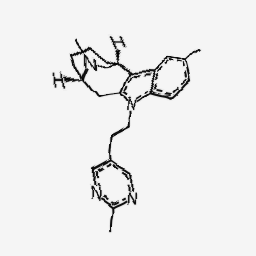 Cc1ccc2c(c1)c1c(n2CCc2cnc(C)nc2)C[C@@H]2CC[C@H]1N2C